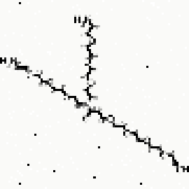 C#CCOCCOCCOCCOCCC(=O)N(CCOCCOCCOCCN)CCOCCOCCOCCN